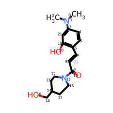 CN(C)c1ccc(/C=C/C(=O)N2CCC(CO)CC2)c(O)c1